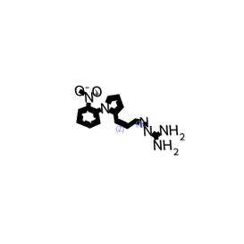 NC(N)=N/N=C\C=C/c1cccn1-c1ccccc1[N+](=O)[O-]